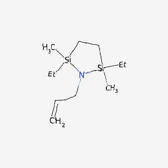 C=CCN1[Si](C)(CC)CC[Si]1(C)CC